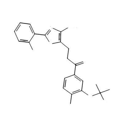 CCCCCCc1nc(-c2ccccc2C(F)(F)F)sc1CCC(=O)c1ccc(C)c(OC(C)(C)C(=O)OCC)c1